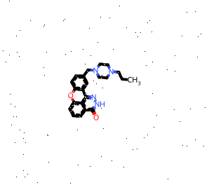 CCCN1CCN(Cc2ccc3c(c2)-c2n[nH]c(=O)c4cccc(c24)O3)CC1